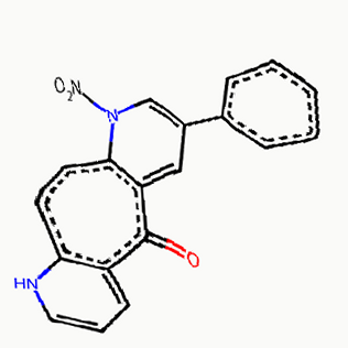 O=c1c2c(ccc3c1=CC(c1ccccc1)=CN3[N+](=O)[O-])NC=CC=2